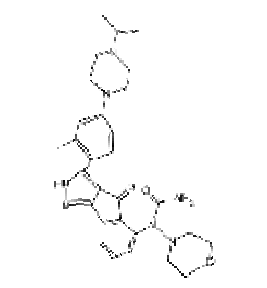 Cc1cc(N2CCN(C(C)C)CC2)ccc1-c1[nH]nc2c1C(=O)c1c-2cccc1N(C(N)=O)N1CCOCC1